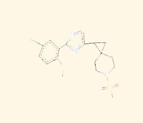 COc1ccc(Cl)cc1-c1noc(C2CC23CCN(S(C)(=O)=O)CC3)n1